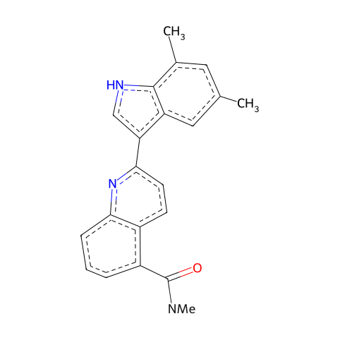 CNC(=O)c1cccc2nc(-c3c[nH]c4c(C)cc(C)cc34)ccc12